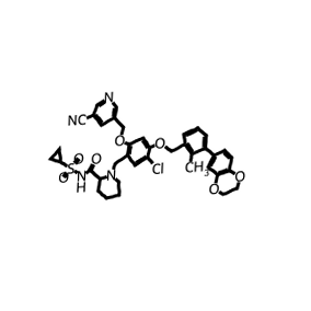 Cc1c(COc2cc(OCc3cncc(C#N)c3)c(CN3CCCCC3C(=O)NS(=O)(=O)C3CC3)cc2Cl)cccc1-c1ccc2c(c1)OCCO2